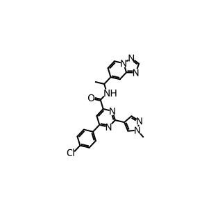 CC(NC(=O)c1cc(-c2ccc(Cl)cc2)nc(-c2cnn(C)c2)n1)c1ccn2ncnc2c1